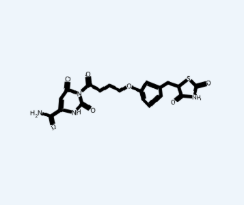 NC(=O)c1cc(=O)n(C(=O)CCCOc2cccc(CC3SC(=O)NC3=O)c2)c(=O)[nH]1